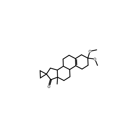 COC1(OC)CCC2=C(CCC3C2CCC2(C)C(=O)C4(CC4)CC32)C1